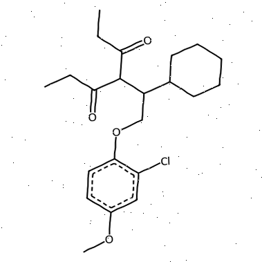 CCC(=O)C(C(=O)CC)C(COc1ccc(OC)cc1Cl)C1CCCCC1